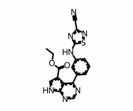 CCOC(=O)c1c[nH]c2ncnc(-c3cccc(Nc4nc(C#N)ns4)c3)c12